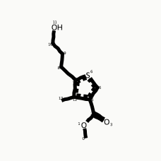 COC(=O)c1csc(CCCO)c1C